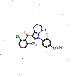 O=C(O)c1ccc(-n2cc(C(=O)c3c(Cl)cccc3C(F)(F)F)c3c2NCCC3)c(F)c1